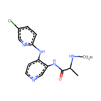 CC(NC(=O)O)C(=O)Nc1cnccc1Nc1ccc(Cl)cn1